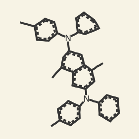 Cc1ccc(N(c2ccccc2)c2cc(C)c3cc(N(c4ccccc4)c4ccc(C)cc4)cc(C)c3c2)cc1